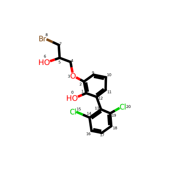 Oc1c(OCC(O)CBr)cccc1-c1c(Cl)cccc1Cl